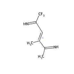 CC(=N)/C(C)=C/C(=N)C(F)(F)F